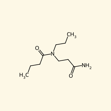 CCCC(=O)N(CCC)CCC(N)=O